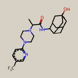 CC(C(=O)NC1C2CC3CC1CC(O)(C3)C2)N1CCN(c2ccc(C(F)(F)F)cn2)CC1